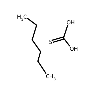 CCCCCC.OC(O)=S